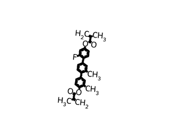 C=C(C)C(=O)Oc1ccc(-c2ccc(-c3ccc(OC(=O)C(=C)C)c(C)c3)c(C)c2)c(F)c1